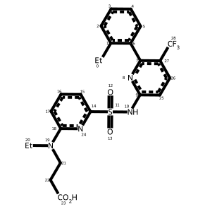 CCc1ccccc1-c1nc(NS(=O)(=O)c2cccc(N(CC)CCC(=O)O)n2)ccc1C(F)(F)F